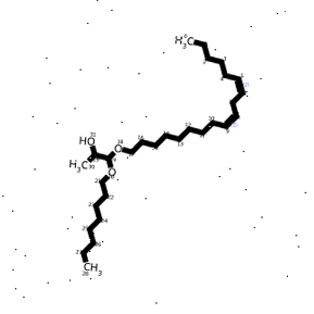 CCCCC/C=C\C/C=C\CCCCCCCCOC(OCCCCCCCC)C(C)O